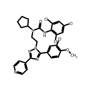 COc1ccc(-c2nc(-c3ccncc3)nn2CCN(C(=O)Nc2c(Cl)cc(Cl)cc2Cl)C2CCCC2)cc1Cl